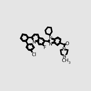 CN1CCN(C(=O)c2ccc3c(c2)nc(-c2cc4ccc(-c5ccccc5-c5ccc(Cl)cc5)nc4cc2F)n3C2CCCCC2)CC1